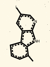 Cc1cccc2c1[nH]c1ncc(I)cc12